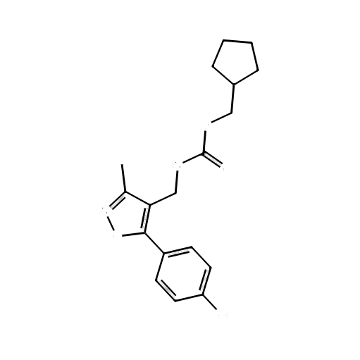 Cc1noc(-c2ccc(O)cc2)c1CNC(=O)OCC1CCCC1